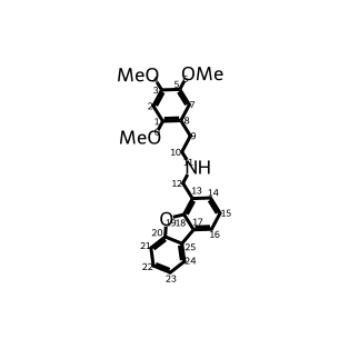 COc1cc(OC)c(OC)cc1CCNCc1cccc2c1oc1ccccc12